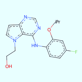 CC(C)Oc1cc(F)ccc1Nc1ncnc2ccn(CCO)c12